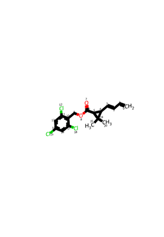 C=CC=CC1C(C(=O)OCc2c(Cl)cc(Cl)cc2Cl)C1(C)C